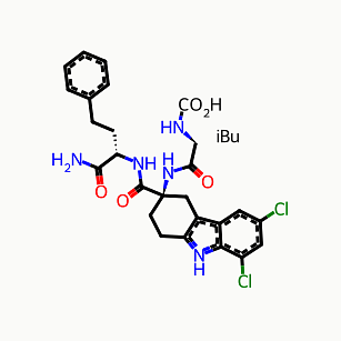 CC[C@H](C)[C@H](NC(=O)O)C(=O)N[C@]1(C(=O)N[C@@H](CCc2ccccc2)C(N)=O)CCc2[nH]c3c(Cl)cc(Cl)cc3c2C1